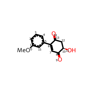 COc1cccc(C2=CC(=O)[C@H](O)CC2=O)c1